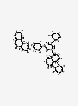 c1ccc(-c2nc(-c3ccc(-c4ccc5ccc6cccnc6c5n4)cc3)cc(-c3ccc4c5c(cccc35)-c3ccccc3-4)n2)cc1